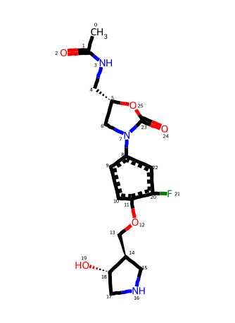 CC(=O)NC[C@H]1CN(c2ccc(OC[C@H]3CNC[C@@H]3O)c(F)c2)C(=O)O1